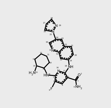 NC(=O)c1cc(F)c(NC2CCCCC2N)nc1Nc1ccc2cc(-n3cccn3)cnc2c1